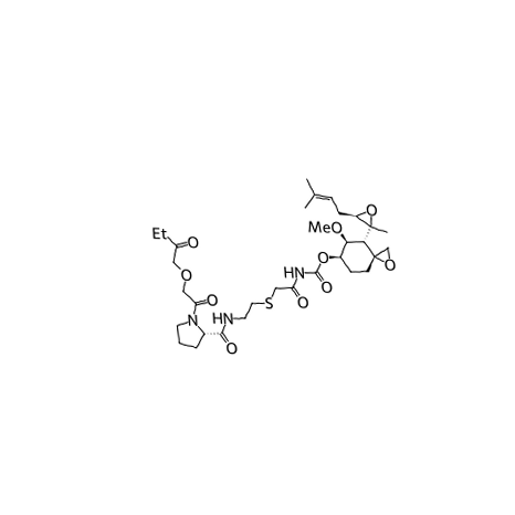 CCC(=O)COCC(=O)N1CCC[C@H]1C(=O)NCCSCC(=O)NC(=O)O[C@@H]1CC[C@]2(CO2)[C@@H](C2(C)O[C@@H]2CC=C(C)C)[C@@H]1OC